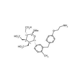 CS[C@H]1O[C@H](c2ccc(C)c(Cc3ccc(OCCN)cc3)c2)[C@@H](CC(=O)O)[C@@H](CC(=O)O)[C@@H]1CC(=O)O